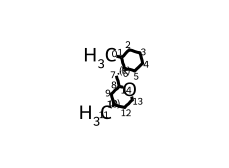 CC1CCCC[C@@H]1CC1C[C@H](C)CCO1